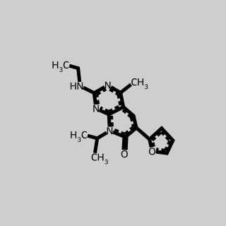 CCNc1nc(C)c2cc(-c3ccco3)c(=O)n(C(C)C)c2n1